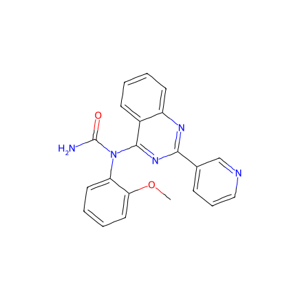 COc1ccccc1N(C(N)=O)c1nc(-c2cccnc2)nc2ccccc12